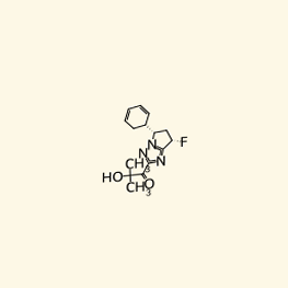 CC(C)(O)C(=O)c1nc2n(n1)[C@H](C1C=CC=CC1)C[C@@H]2F